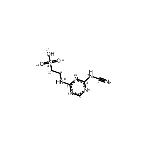 N#CNc1n[c]nc(NCCS(=O)(=O)O)n1